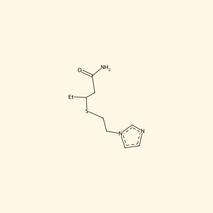 CCC(CC(N)=O)SCCn1ccnc1